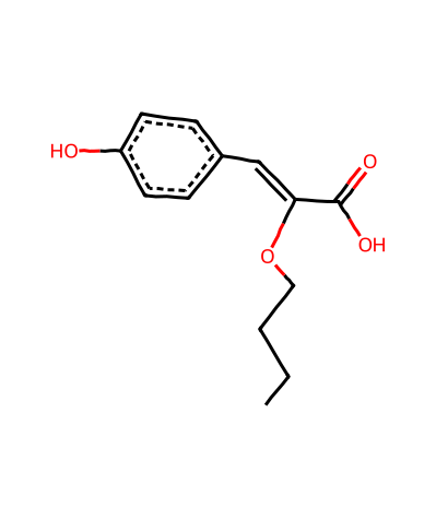 CCCCOC(=Cc1ccc(O)cc1)C(=O)O